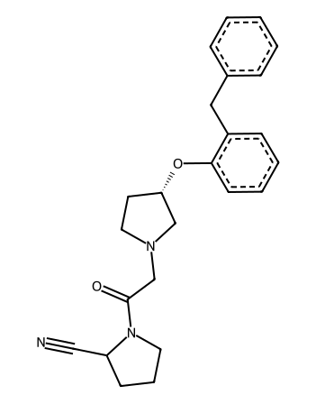 N#CC1CCCN1C(=O)CN1CC[C@H](Oc2ccccc2Cc2ccccc2)C1